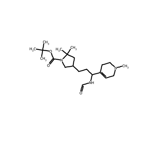 CN1CC=C(C(CCC2CN(C(=O)OC(C)(C)C)C(C)(C)C2)NC=O)CC1